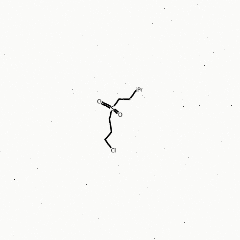 CC(C)CCS(=O)(=O)CCCCl